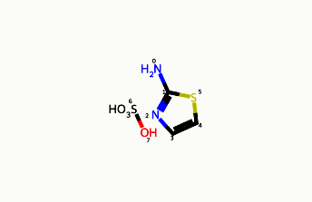 Nc1nccs1.O=S(=O)(O)O